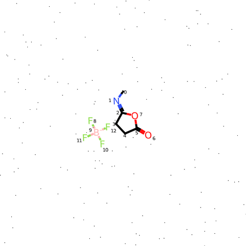 CN=C1CCC(=O)O1.F[B-](F)(F)F